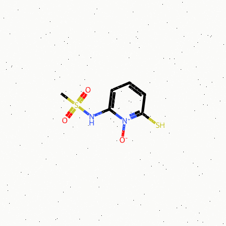 CS(=O)(=O)Nc1cccc(S)[n+]1[O-]